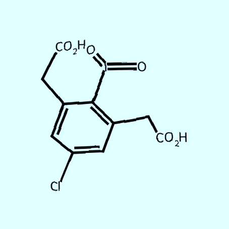 O=C(O)Cc1cc(Cl)cc(CC(=O)O)c1I(=O)=O